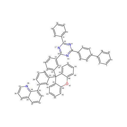 c1ccc(-c2ccc(-c3nc(-c4ccccc4)nc(-c4cccc(C5(c6cccc(-c7cccc8cccnc78)c6)c6ccccc6Oc6ccccc65)c4)n3)cc2)cc1